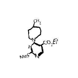 CCOC(=O)c1cnc(SC)nc1N1CCC(C)CC1